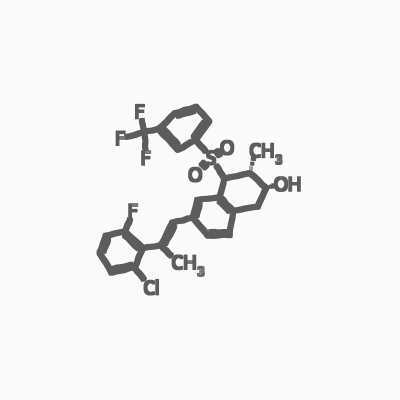 C/C(=C\c1ccc2c(c1)C(S(=O)(=O)c1cccc(C(F)(F)F)c1)[C@H](C)[C@H](O)C2)c1c(F)cccc1Cl